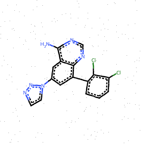 Nc1ncnc2c(-c3cccc(Cl)c3Cl)cc(-n3ccnn3)cc12